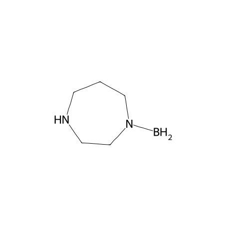 BN1CCCNCC1